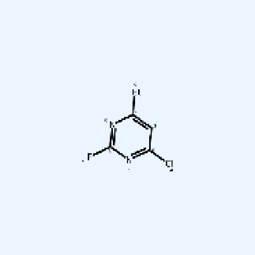 CCc1cc(Cl)nc(F)n1